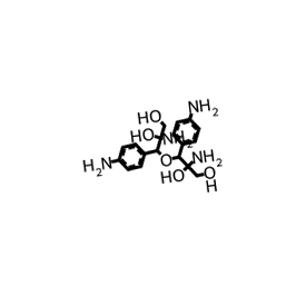 Nc1ccc(C(OC(c2ccc(N)cc2)C(N)(O)CO)C(N)(O)CO)cc1